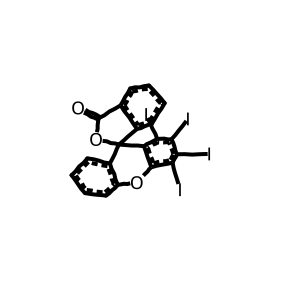 O=C1OC2(c3ccccc3Oc3c(I)c(I)c(I)c(I)c32)c2ccccc21